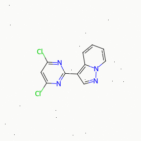 Clc1cc(Cl)nc(-c2cnn3ccccc23)n1